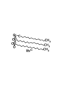 CCCCCCCCCCCCCCCCCC(=O)[O-].CCCCCCCCCCCCCCCCCC(=O)[O-].CCCCCCCCCCCCCCCCCC(=O)[O-].[Rh+3]